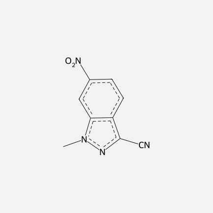 Cn1nc(C#N)c2ccc([N+](=O)[O-])cc21